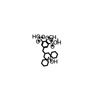 COc1c(S(=O)(=O)O)cc(CC2CC3(CCCCC3)N(O)C3(CCCCC3)C2)cc1S(=O)(=O)O